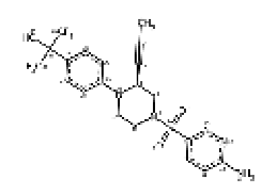 CC#C[C@H]1CN(S(=O)(=O)c2ccc(N)nn2)CCN1c1ccc(C(O)(C(F)(F)F)C(F)(F)F)cc1